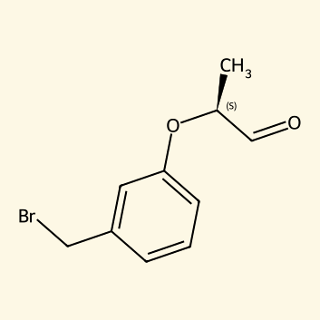 C[C@@H](C=O)Oc1cccc(CBr)c1